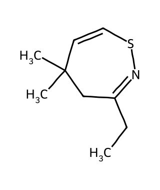 CCC1=NSC=CC(C)(C)C1